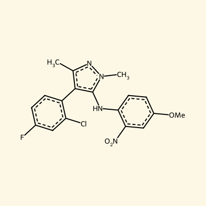 COc1ccc(Nc2c(-c3ccc(F)cc3Cl)c(C)nn2C)c([N+](=O)[O-])c1